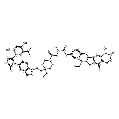 CCc1c2c(nc3ccc(OC(=O)N(C)CC(=O)N4CCC(CC)(CCn5ccc6cc(-n7c(O)nnc7-c7cc(C(C)C)c(O)cc7O)ccc65)CC4)cc13)-c1cc3c(c(=O)n1C2)COC(=O)[C@H]3O